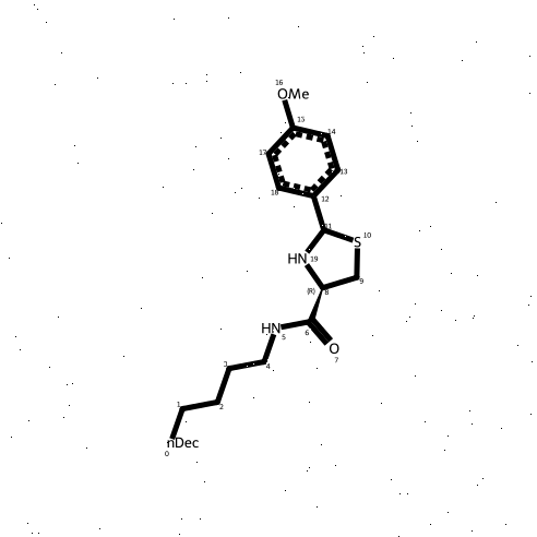 CCCCCCCCCCCCCCNC(=O)[C@@H]1CSC(c2ccc(OC)cc2)N1